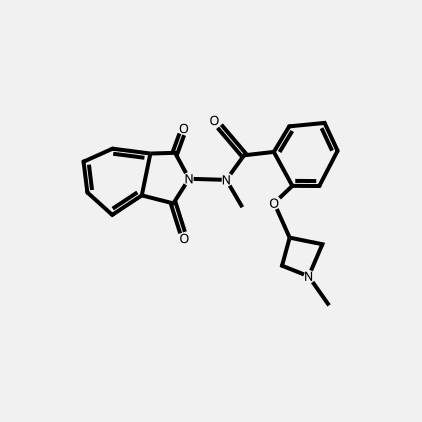 CN1CC(Oc2ccccc2C(=O)N(C)N2C(=O)c3ccccc3C2=O)C1